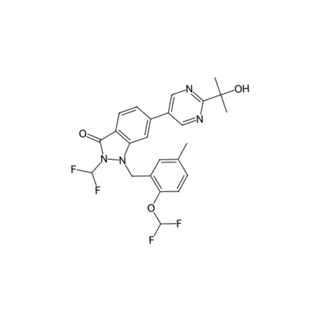 Cc1ccc(OC(F)F)c(Cn2c3cc(-c4cnc(C(C)(C)O)nc4)ccc3c(=O)n2C(F)F)c1